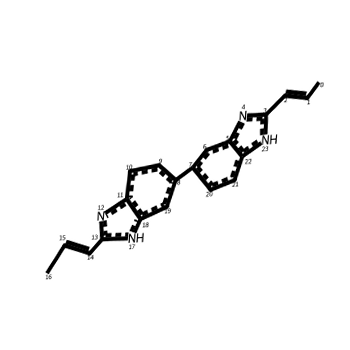 CC=Cc1nc2cc(-c3ccc4nc(C=CC)[nH]c4c3)ccc2[nH]1